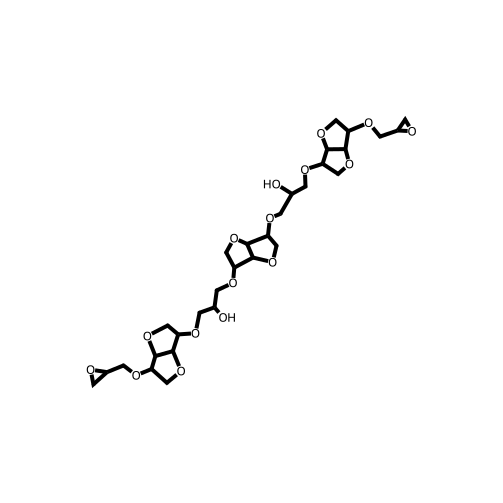 OC(COC1COC2C(OCC(O)COC3COC4C(OCC5CO5)COC34)COC12)COC1COC2C(OCC3CO3)COC12